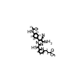 COC(=O)CCc1cccc(C(S)c2nc(N)c(C#N)c(-c3ccc(NC(C)=O)cc3)n2)n1